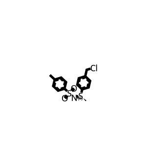 Cc1ccc(S(=O)(=O)N=[S@@](C)c2ccc(CCl)cc2)cc1